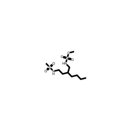 CCCCC(CCNS(C)(=O)=O)CNS(=O)(=O)OC